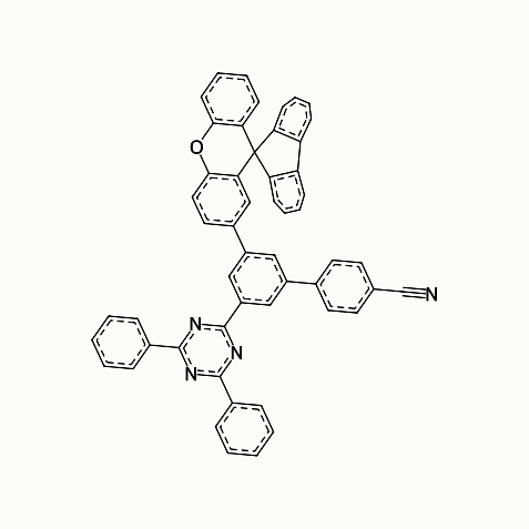 N#Cc1ccc(-c2cc(-c3ccc4c(c3)C3(c5ccccc5O4)c4ccccc4-c4ccccc43)cc(-c3nc(-c4ccccc4)nc(-c4ccccc4)n3)c2)cc1